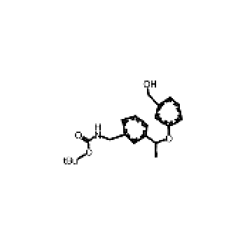 CC(Oc1cccc(CO)c1)c1cccc(CNC(=O)OC(C)(C)C)c1